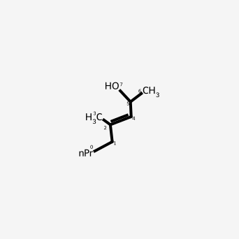 CCCC/C(C)=C/C(C)O